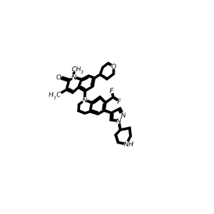 Cc1cc2c(N3CCCc4cc(-c5cnn(C6CCNCC6)c5)c(C(F)F)cc43)cc(C3CCOCC3)cc2n(C)c1=O